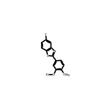 CCOc1cc(-c2nc3cc(F)ccc3s2)ccc1OC